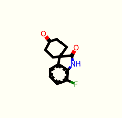 O=C1CCC2(CC1)C(=O)Nc1c(F)cccc12